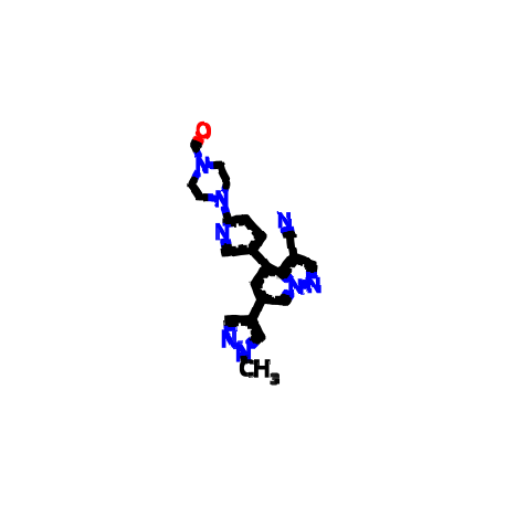 Cn1cc(-c2cc(-c3ccc(N4CCN(C=O)CC4)nc3)c3c(C#N)cnn3c2)cn1